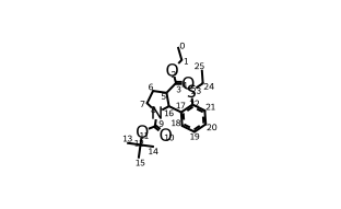 CCOC(=O)C1CCN(C(=O)OC(C)(C)C)C1c1ccccc1SCC